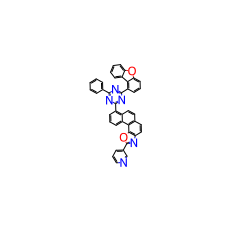 c1ccc(-c2nc(-c3cccc4c3ccc3ccc5nc(-c6cccnc6)oc5c34)nc(-c3cccc4oc5ccccc5c34)n2)cc1